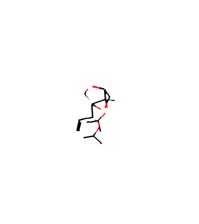 C=C[C@@H](OC(C)C)[C@@]12CO[C@@H]([C@H](C)O1)[C@@H]2OC(C)C